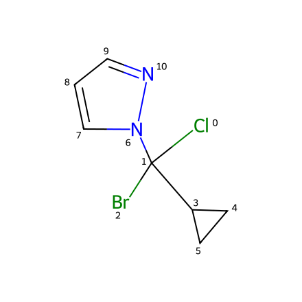 ClC(Br)(C1CC1)n1cccn1